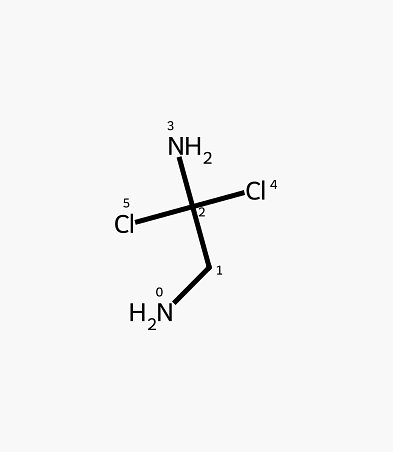 NCC(N)(Cl)Cl